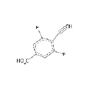 C#Cc1c(F)cc(C(=O)O)cc1F